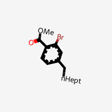 CCCCCCCCc1ccc(C(=O)OC)c(Br)c1